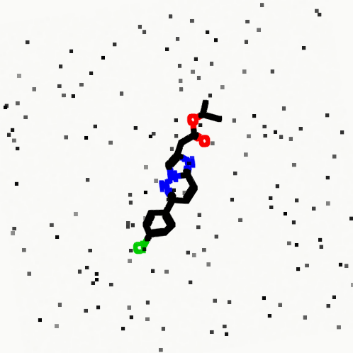 CC(C)OC(=O)Cc1cn2nc(-c3ccc(Cl)cc3)ccc2n1